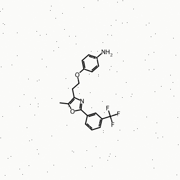 Cc1oc(-c2cccc(C(F)(F)F)c2)nc1CCOc1ccc(N)cc1